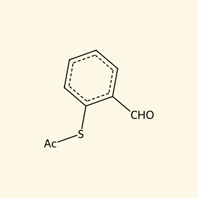 CC(=O)Sc1ccccc1C=O